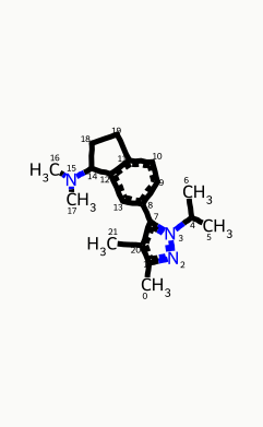 Cc1nn(C(C)C)c(-c2ccc3c(c2)C(N(C)C)CC3)c1C